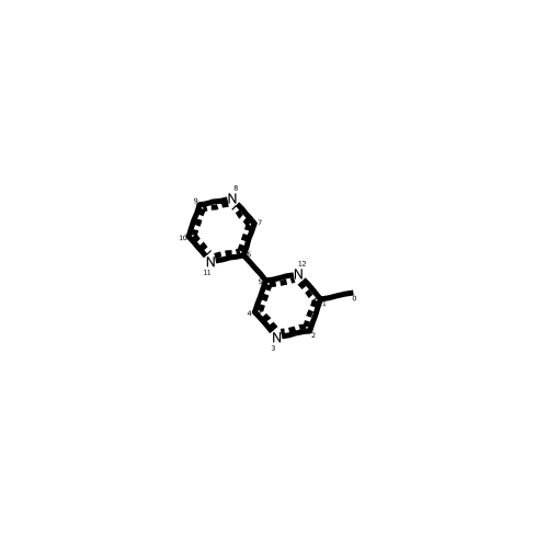 Cc1cncc(-c2[c]nccn2)n1